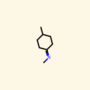 CN=C1CCC(C)CC1